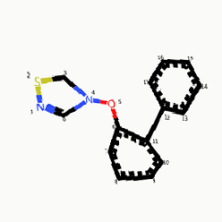 C1=NSCN1Oc1ccccc1-c1ccccc1